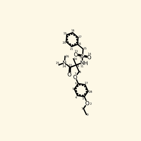 CCOc1ccc(OCC(C)(NS(=O)(=O)Cc2ccccc2)C(=O)N(C)C)cc1